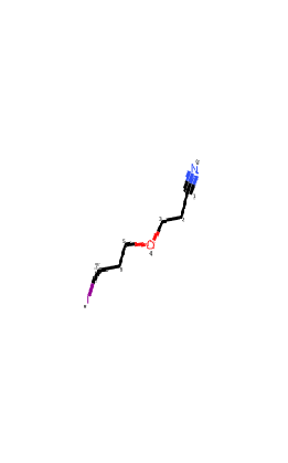 N#CCCOCCCI